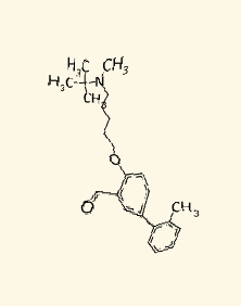 Cc1ccccc1-c1ccc(OCCCCCN(C)C(C)(C)C)c(C=O)c1